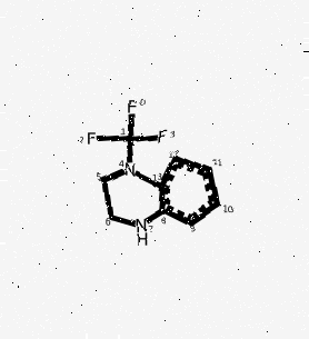 FC(F)(F)N1CCNc2ccccc21